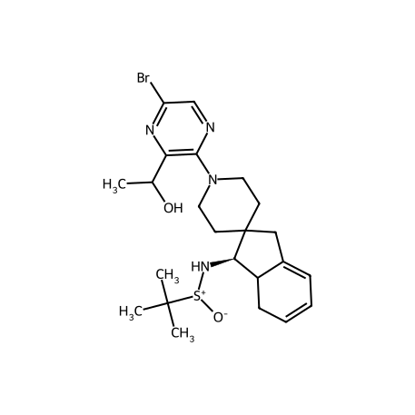 CC(O)c1nc(Br)cnc1N1CCC2(CC1)CC1=CC=CCC1[C@H]2N[S+]([O-])C(C)(C)C